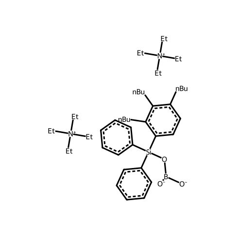 CCCCc1ccc([Si](OB([O-])[O-])(c2ccccc2)c2ccccc2)c(CCCC)c1CCCC.CC[N+](CC)(CC)CC.CC[N+](CC)(CC)CC